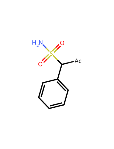 CC(=O)C(c1ccccc1)S(N)(=O)=O